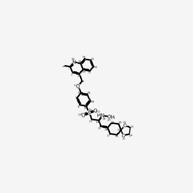 Cc1cc(COc2ccc(S(=O)(=O)CC(C=C3CCC4(CC3)OCCO4)NO)cc2)c2ccccc2n1